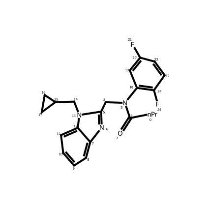 CCCC(=O)N(Cc1nc2ccccc2n1CC1CC1)c1cc(F)ccc1F